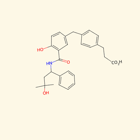 CC(C)(O)CC(NC(=O)c1cc(Cc2ccc(CCC(=O)O)cc2)ccc1O)c1ccccc1